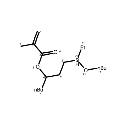 C=C(C)C(=O)OC(CCCC)CC[SiH](CC)OCCCC